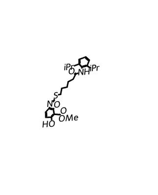 COC(=O)c1c(O)ccc2nc(SCCCCCC(=O)Nc3c(C(C)C)cccc3C(C)C)oc12